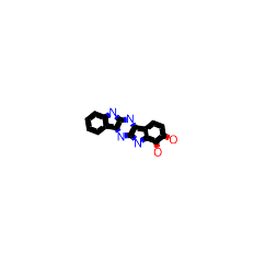 O=c1ccc2c3nc4nc5ccccc5c4nc3nc-2c1=O